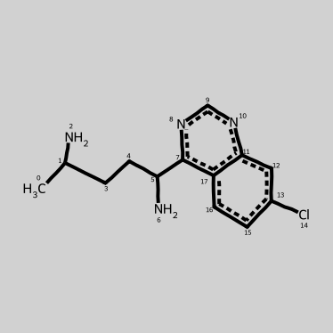 CC(N)CCC(N)c1ncnc2cc(Cl)ccc12